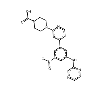 O=C(O)N1CCN(c2cc(-c3cc([N+](=O)[O-])cc(Nc4cnccn4)n3)ccn2)CC1